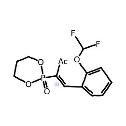 CC(=O)/C(=C\c1ccccc1OC(F)F)P1(=O)OCCCO1